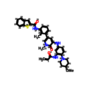 C=CC(=O)Nc1cc(Nc2cc(-c3cccc(NC(=O)c4cc5ccccc5s4)c3C)cn(C)c2=O)ccc1N1CCC(OC)CC1